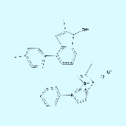 CC1=C2c3c(ccn3-c3ccccc3)C1[Si]2(C)C.CC1=Cc2c(-c3ccc(C)cc3)cccc2[CH]1[Zr+2].[Cl-].[Cl-]